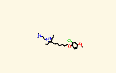 CCc1nn(CCN(C)C)c(CC)c1CCCCCCOc1ccc(OC)cc1Cl